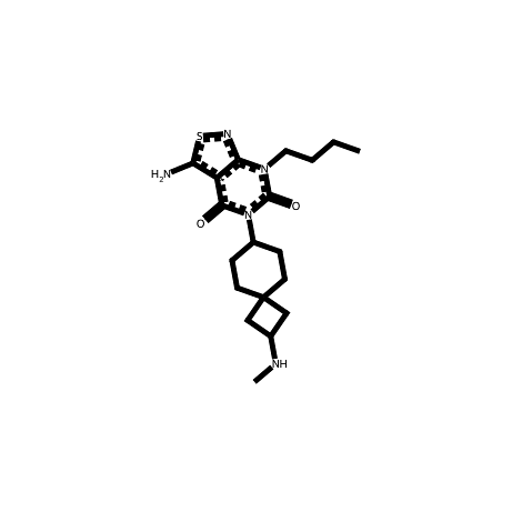 CCCCn1c(=O)n(C2CCC3(CC2)CC(NC)C3)c(=O)c2c(N)snc21